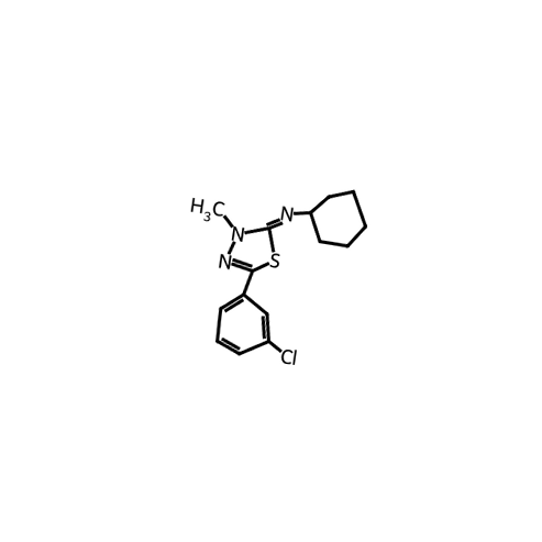 Cn1nc(-c2cccc(Cl)c2)sc1=NC1CCCCC1